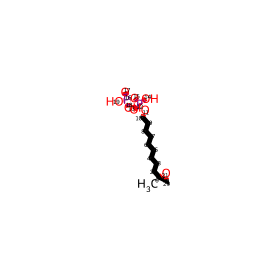 CC1(CCCCCCCCCOP(=O)(O)OP(=O)(O)O)CO1